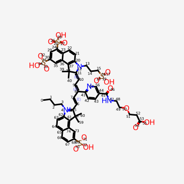 CCCC[N+]1=C(/C=C/C(=C/C=C2/N(CCCS(=O)(=O)O)c3ccc4c(S(=O)(=O)O)cc(S(=O)(=O)O)cc4c3C2(C)C)c2ccc(C(=O)NCCOCCC(=O)O)cn2)C(C)(C)c2c1ccc1ccc(S(=O)(=O)O)cc21